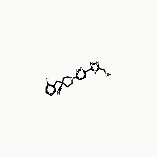 N#CC1(Cc2ccccc2Cl)CCN(c2ccc(-c3nnc(CO)s3)nn2)CC1